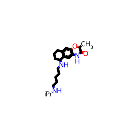 CC(C)NCCCCCNC1CCCc2cc3c(cc21)NC(=O)C(C)O3